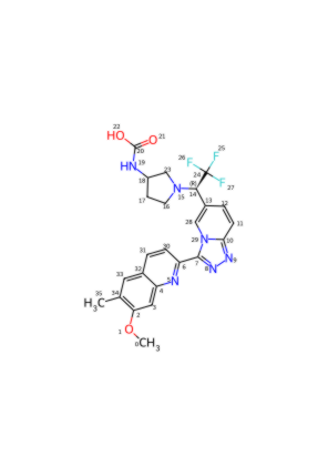 COc1cc2nc(-c3nnc4ccc([C@@H](N5CCC(NC(=O)O)C5)C(F)(F)F)cn34)ccc2cc1C